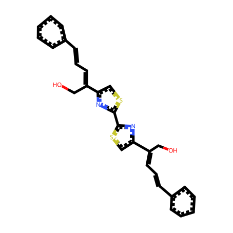 OC/C(=C\C=C\c1ccccc1)c1csc(-c2nc(/C(=C/C=C/c3ccccc3)CO)cs2)n1